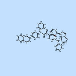 c1ccc(-n2ccc3ccc4c5ccccc5n(-c5ccc(C6=Nc7ccccc7C(c7ccc(-c8ccc9ccccc9c8)cc7)N6)cc5)c4c32)cc1